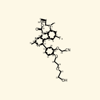 C=CCN(C)c1cc(F)cc2c3c(-c4ccc(OCCOCCO)c(OCC#N)c4)nc(C)nc3n(C(=O)OC(C)(C)C)c12